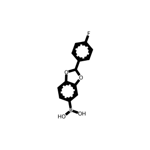 OB(O)c1ccc2c(c1)OC(c1ccc(F)cc1)O2